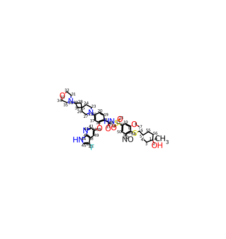 C[C@]1(O)CC[C@H]([C@H]2COc3cc(S(=O)(=O)NC(=O)c4ccc(N5CCC6(CC5)CC(N5CCOCC5)C6)cc4Oc4cnc5[nH]cc(F)c5c4)cc(N=O)c3S2)CC1